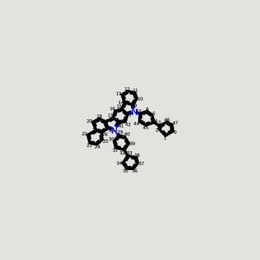 c1ccc(-c2ccc(-n3c4ccccc4c4cc5c6ccc7ccccc7c6n(-c6ccc(-c7ccccc7)cc6)c5cc43)cc2)cc1